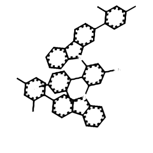 Cc1ccc(-c2ccc3c4ccccc4n(-c4cc(C#N)cc(-n5c6ccccc6c6ccc(-c7ccc(C)cc7C)cc65)c4-c4ccc(C(F)(F)F)cc4C#N)c3c2)c(C)c1